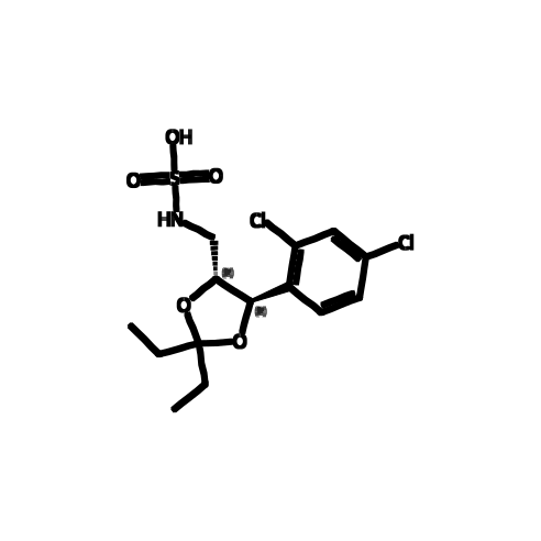 CCC1(CC)O[C@H](c2ccc(Cl)cc2Cl)[C@@H](CNS(=O)(=O)O)O1